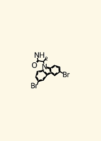 CC(C(N)=O)n1c2ccc(Br)cc2c2cc(Br)ccc21